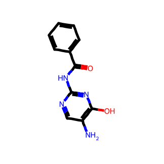 Nc1cnc(NC(=O)c2ccccc2)nc1O